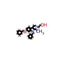 Cc1c2c(cc[n+]1CCO)c1ccc(OCc3ccccc3)cc1n2Cc1ccccc1